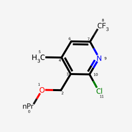 CCCOCc1c(C)cc(C(F)(F)F)nc1Cl